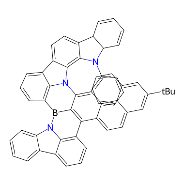 CC(C)(C)c1cc2ccc3c4c5c(c6ccc(c1)c2c36)-n1c2c(cccc2c2ccc3c(c21)N(c1ccccc1)C1C=CC=CC31)B5n1c2ccccc2c2cccc-4c21